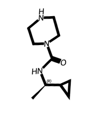 C[C@@H](NC(=O)N1CCNCC1)C1CC1